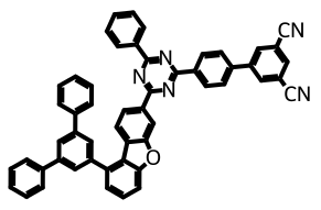 N#Cc1cc(C#N)cc(-c2ccc(-c3nc(-c4ccccc4)nc(-c4ccc5c(c4)oc4cccc(-c6cc(-c7ccccc7)cc(-c7ccccc7)c6)c45)n3)cc2)c1